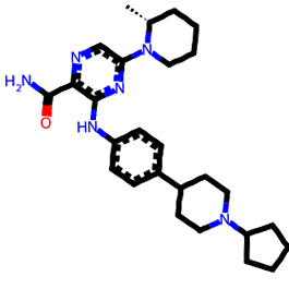 C[C@@H]1CCCCN1c1cnc(C(N)=O)c(Nc2ccc(C3CCN(C4CCCC4)CC3)cc2)n1